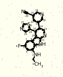 CCNc1cc(F)cc2c1[nH]c1ncc(-c3cncc(C#N)c3)c(-c3cncs3)c12